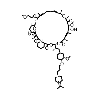 COCCOC1C[C@@H]2CC[C@@H](C)[C@@](O)(O2)C(=O)C(=O)N2CCCCC2C(=O)O[C@H]([C@H](C)C[C@@H]2CC[C@@H](OCCCN3CCN(C(C)C)CC3)[C@H](OC)C2)CC(=O)[C@H](C)/C=C(\C)[C@@H](O)[C@@H](OC)C(=O)[C@H](C)C[C@H](C)/C=C/C=C/C=C/1C